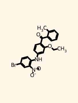 CCOc1cc(Nc2ccc(Br)cc2[N+](=O)[O-])ccc1C(=O)c1ccccc1C